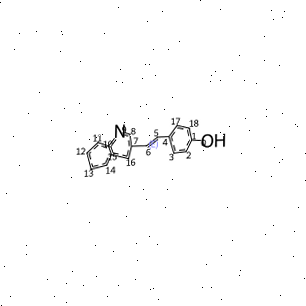 Oc1ccc(/C=C/c2cnc3ccccc3c2)cc1